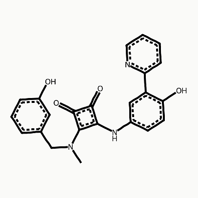 CN(Cc1cccc(O)c1)c1c(Nc2ccc(O)c(-c3ccccn3)c2)c(=O)c1=O